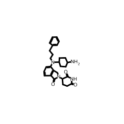 NC1CCC(N(CCCc2ccccc2)c2cccc3c2CN(C2CCC(=O)NC2=O)C3=O)CC1